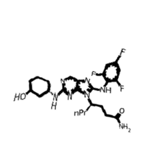 CCC[C@H](CCC(N)=O)n1c(Nc2c(F)cc(F)cc2F)nc2cnc(N[C@H]3CCCC(O)C3)nc21